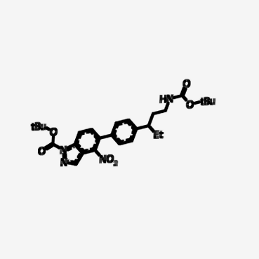 CCC(CCNC(=O)OC(C)(C)C)c1ccc(-c2ccc3c(cnn3C(=O)OC(C)(C)C)c2[N+](=O)[O-])cc1